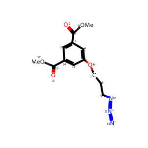 COC(=O)c1cc(OCCCN=[N+]=[N-])cc(C(=O)OC)c1